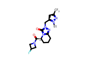 CCn1nc(C(F)(F)F)cc1Cn1nc2n(c1=O)[C@H](C(=O)N1CC(F)C1)CCC2